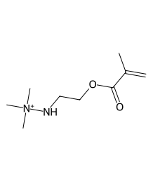 C=C(C)C(=O)OCCN[N+](C)(C)C